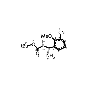 COc1c(C#N)cccc1[C@@H](N)NC(=O)OC(C)(C)C